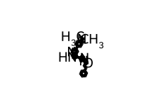 CN(C)c1ccc(-c2cnc3[nH]cc(-c4cnn(C(=O)CCc5ccccc5)c4)c3c2)cc1